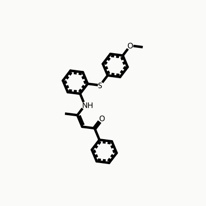 COc1ccc(Sc2ccccc2N/C(C)=C\C(=O)c2ccccc2)cc1